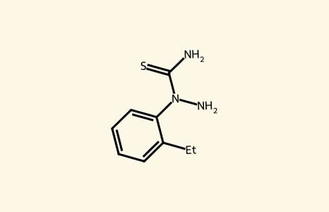 CCc1ccccc1N(N)C(N)=S